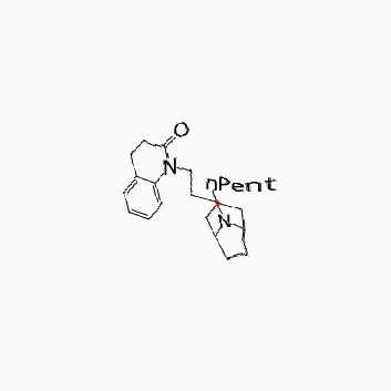 CCCCCC1CC2CCC(C1)N2CCCN1C(=O)CCc2ccccc21